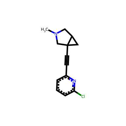 CN1CC2CC2(C#Cc2cccc(Cl)n2)C1